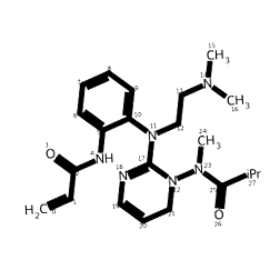 C=CC(=O)Nc1ccccc1N(CCN(C)C)C1=NC=CCN1N(C)C(=O)C(C)C